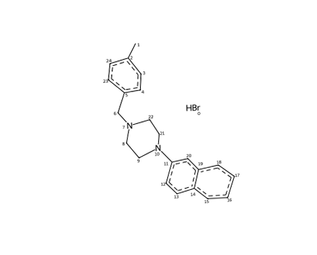 Br.Cc1ccc(CN2CCN(c3ccc4ccccc4c3)CC2)cc1